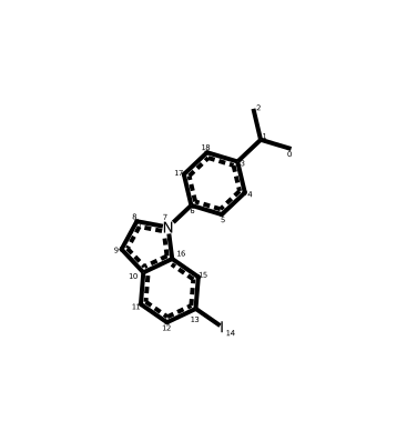 CC(C)c1ccc(-n2ccc3ccc(I)cc32)cc1